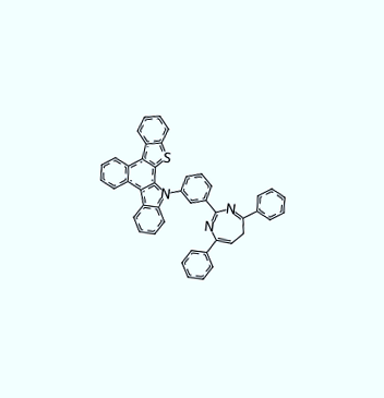 C1=C(c2ccccc2)N=C(c2cccc(-n3c4ccccc4c4c5ccccc5c5c6ccccc6sc5c43)c2)N=C(c2ccccc2)C1